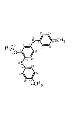 COc1cc(Sc2ccc(C)cc2)ccc1Sc1ccc(C)cc1